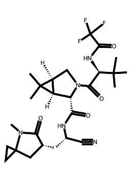 CN1C(=O)[C@H](C[C@@H](C#N)NC(=O)[C@@H]2[C@@H]3[C@H](CN2C(=O)[C@@H](NC(=O)C(F)(F)F)C(C)(C)C)C3(C)C)CC12CC2